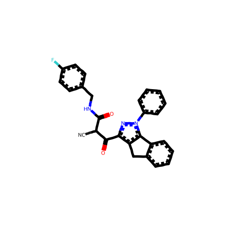 N#CC(C(=O)NCc1ccc(F)cc1)C(=O)c1nn(-c2ccccc2)c2c1Cc1ccccc1-2